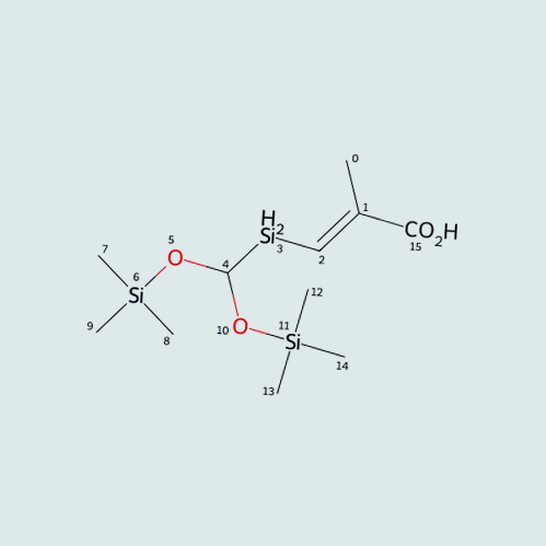 CC(=C[SiH2]C(O[Si](C)(C)C)O[Si](C)(C)C)C(=O)O